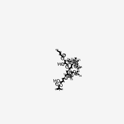 C=C(C)C(=O)OC(O)CCOCCC[SiH](C(CC[Si](O[Si](C)(C)C)(O[Si](C)(C)C)O[Si](C)(C)C)OCC(O)COC(=O)C=CC)C(O[Si](C)(C)C)O[Si](C)(C)C